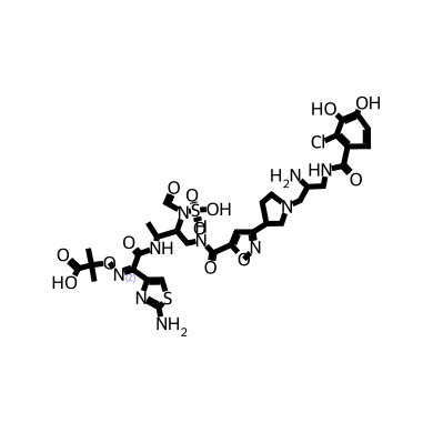 CC(NC(=O)/C(=N\OC(C)(C)C(=O)O)c1csc(N)n1)C(CNC(=O)c1cc(C2CCN(CC(N)CNC(=O)c3ccc(O)c(O)c3Cl)C2)no1)N(C=O)S(=O)(=O)O